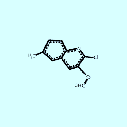 Cc1ccc2nc(Cl)c(OC=O)cc2c1